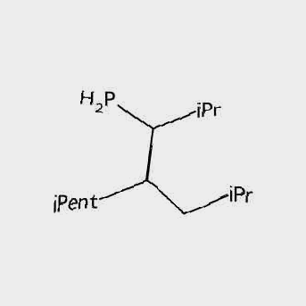 CCCC(C)C(CC(C)C)C(P)C(C)C